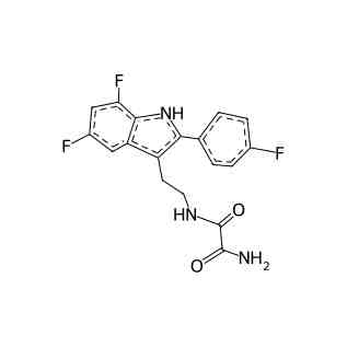 NC(=O)C(=O)NCCc1c(-c2ccc(F)cc2)[nH]c2c(F)cc(F)cc12